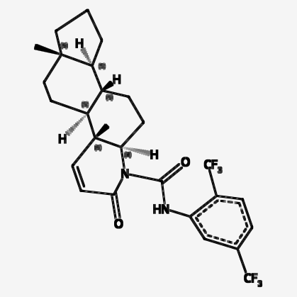 C[C@@]12CCC[C@H]1[C@@H]1CC[C@H]3N(C(=O)Nc4cc(C(F)(F)F)ccc4C(F)(F)F)C(=O)C=C[C@]3(C)[C@H]1CC2